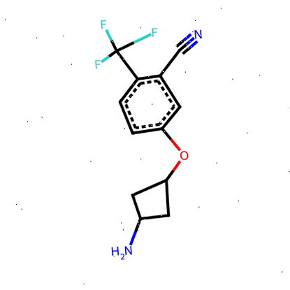 N#Cc1cc(OC2CC(N)C2)ccc1C(F)(F)F